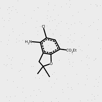 CCOC(=O)c1cc(Cl)c(N)c2c1OC(C)(C)C2